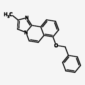 Cc1cn2ccc3c(OCc4ccccc4)cccc3c2n1